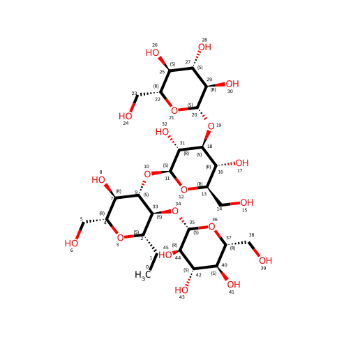 CC[C@@H]1O[C@H](CO)[C@@H](O)[C@H](O[C@@H]2O[C@H](CO)[C@@H](O)[C@H](O[C@@H]3O[C@H](CO)[C@@H](O)[C@H](O)[C@H]3O)[C@H]2O)[C@H]1O[C@@H]1O[C@H](CO)[C@@H](O)[C@H](O)[C@H]1O